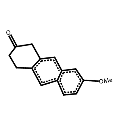 COc1ccc2cc3c(cc2c1)CC(=O)CC3